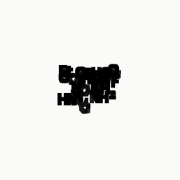 CCOc1cc(OC(C)C)c(F)c(N(Cc2nc(-c3ccccc3C)c[nH]2)c2ccc(C(=N)N)cc2)c1.O=C(O)C(F)(F)F.O=C(O)C(F)(F)F